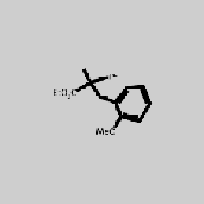 CCOC(=O)C(C)(Cc1ccccc1OC)C(C)C